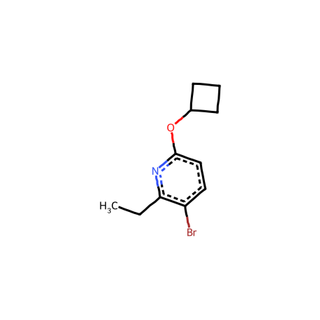 CCc1nc(OC2CCC2)ccc1Br